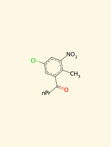 CCCC(=O)c1cc(Cl)cc([N+](=O)[O-])c1C